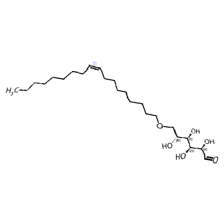 CCCCCCCC/C=C\CCCCCCCCOC[C@@H](O)[C@@H](O)[C@H](O)[C@@H](O)C=O